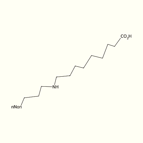 CCCCCCCCCCCCNCCCCCCCCC(=O)O